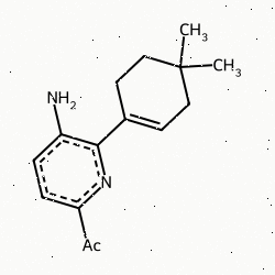 CC(=O)c1ccc(N)c(C2=CCC(C)(C)CC2)n1